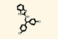 Clc1ccc(C(CNc2nc3ccccc3[nH]2)c2ccc(Cl)cc2)cc1